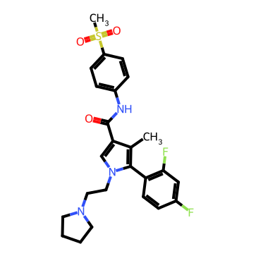 Cc1c(C(=O)Nc2ccc(S(C)(=O)=O)cc2)cn(CCN2CCCC2)c1-c1ccc(F)cc1F